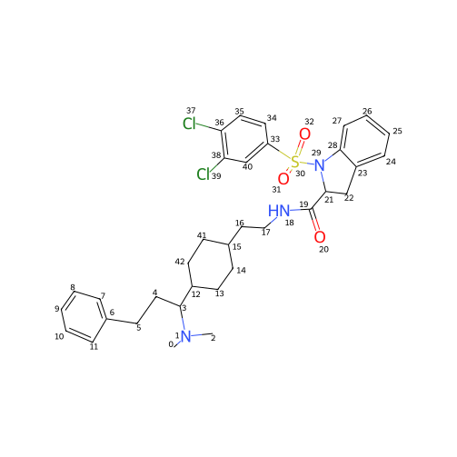 CN(C)C(CCc1ccccc1)C1CCC(CCNC(=O)C2Cc3ccccc3N2S(=O)(=O)c2ccc(Cl)c(Cl)c2)CC1